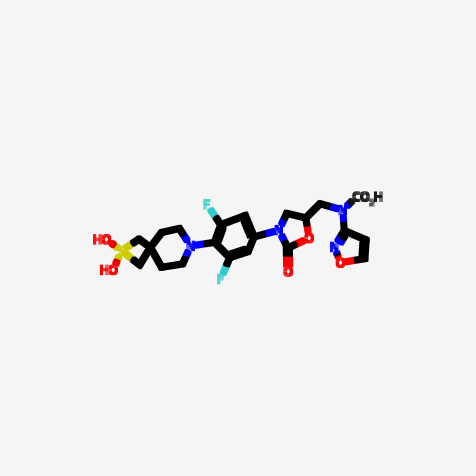 O=C1OC(CN(C(=O)O)c2ccon2)CN1c1cc(F)c(N2CCC3(CC2)CS(O)(O)C3)c(F)c1